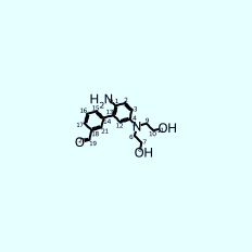 Nc1ccc(N(CCO)CCO)cc1-c1cccc(C=O)c1